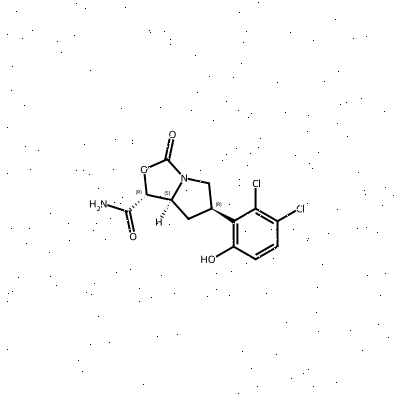 NC(=O)[C@@H]1OC(=O)N2C[C@@H](c3c(O)ccc(Cl)c3Cl)C[C@@H]12